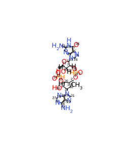 C[C@@]12CO[PH](=O)O[C@@H]3[C@H](O)[C@@H](CO[PH](=O)O[C@H]1[C@@H](O)[C@H](n1cnc4c(N)ncnc41)C2)O[C@H]3n1cnc2c(=O)[nH]c(N)nc21